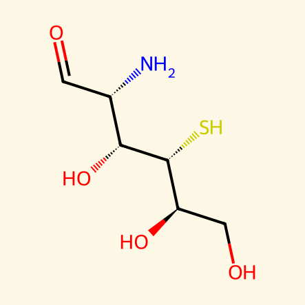 N[C@@H](C=O)[C@@H](O)[C@H](S)[C@H](O)CO